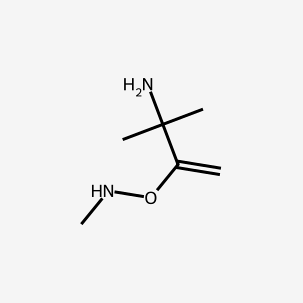 C=C(ONC)C(C)(C)N